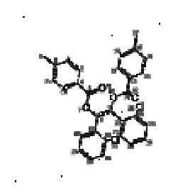 Cc1ccc(C(=O)OC(=C(OC(=O)c2ccc(C)cc2)c2ccccc2Cl)c2ccccc2Cl)cc1